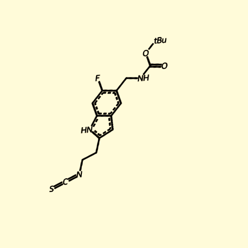 CC(C)(C)OC(=O)NCc1cc2cc(CCN=C=S)[nH]c2cc1F